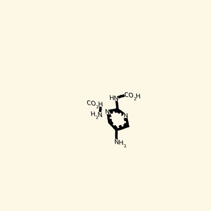 NC(=O)O.Nc1cnc(NC(=O)O)nc1